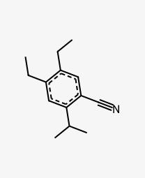 CCc1cc(C#N)c(C(C)C)cc1CC